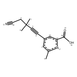 Cc1cc(C#CC(C)(C)CC#N)cc(C(=O)O)n1